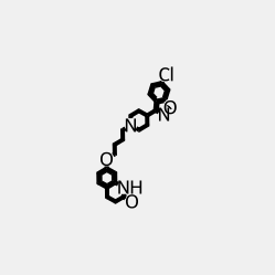 O=C1CCc2ccc(OCCCCN3CCC(c4noc5cc(Cl)ccc45)CC3)cc2N1